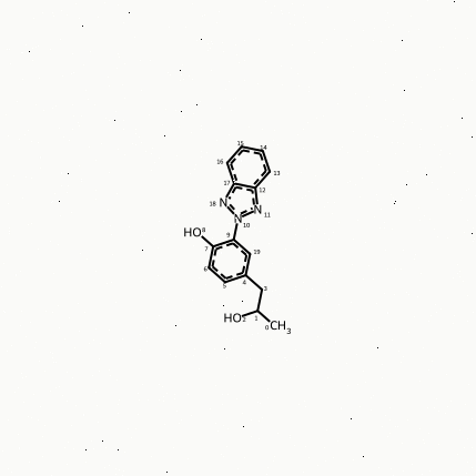 CC(O)Cc1ccc(O)c(-n2nc3ccccc3n2)c1